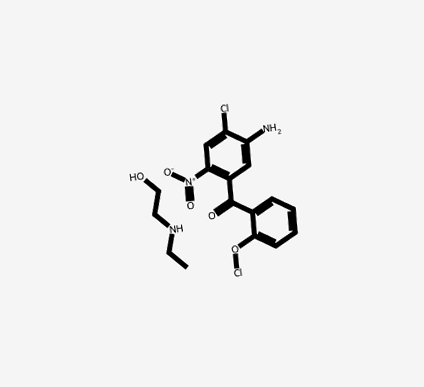 CCNCCO.Nc1cc(C(=O)c2ccccc2OCl)c([N+](=O)[O-])cc1Cl